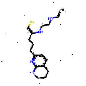 C=CNCCN/C(=C\S)CCCc1ccc2c(n1)NCCC2